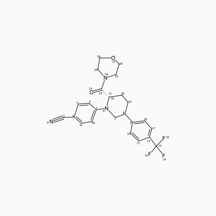 N#Cc1ccc(N2CC(c3ccc(C(F)(F)F)cc3)CC[C@H]2C(=O)N2CCOCC2)cc1